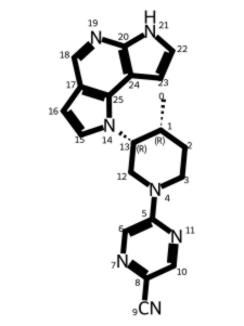 C[C@@H]1CCN(c2cnc(C#N)cn2)C[C@@H]1n1ccc2cnc3[nH]ccc3c21